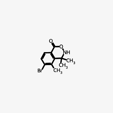 Cc1c(Br)ccc2c1C(C)(C)NOC2=O